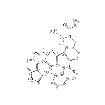 C=CC(=O)N1CC2CCc3c(c4cc(F)c(-c5c(C)ccc6[nH]cnc56)nc4n(-c4c(C)ccnc4C(C)C)c3=O)N2CC1C